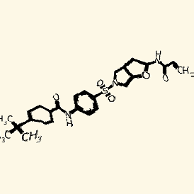 C=CC(=O)NC1CC2CN(S(=O)(=O)c3ccc(NC(=O)C4CCC(C(C)(C)C)CC4)cc3)CC2O1